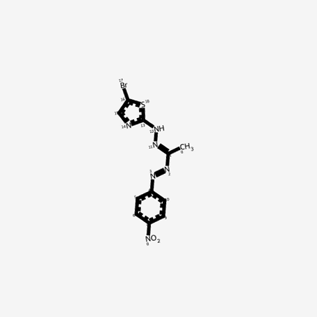 CC(N=Nc1ccc([N+](=O)[O-])cc1)=NNc1ncc(Br)s1